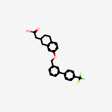 O=C(O)CC1CCc2ccc(OCc3cccc(-c4ccc(C(F)(F)F)cc4)c3)cc2C1